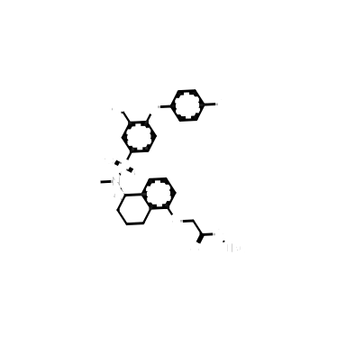 CN([C@@H]1CCCc2c(OCC(=O)OC(C)(C)C)cccc21)S(=O)(=O)c1ccc(Oc2ccc(Cl)cc2)c(Cl)c1